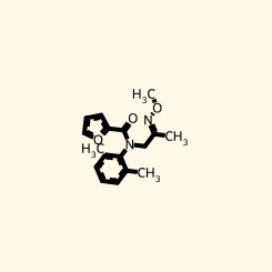 CON=C(C)CN(C(=O)c1ccco1)c1c(C)cccc1C